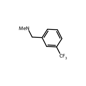 [CH2-][NH2+]Cc1cccc(C(F)(F)F)c1